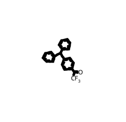 O=C(c1ccc([C](c2ccccc2)c2ccccc2)cc1)C(F)(F)F